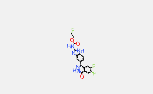 O=C(Nc1nc2cc(-c3n[nH]c(=O)c4cc(F)c(F)cc34)ccc2[nH]1)OCCF